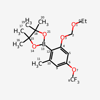 CCOCOc1cc(OC(F)(F)F)cc(C)c1B1OC(C)(C)C(C)(C)O1